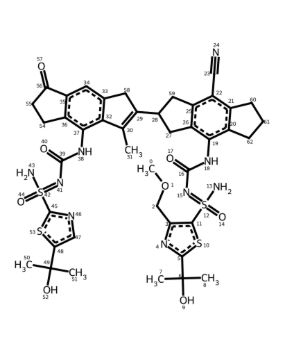 COCc1nc(C(C)(C)O)sc1S(N)(=O)=NC(=O)Nc1c2c(c(C#N)c3c1CC(C1=C(C)c4c(cc5c(c4NC(=O)N=S(N)(=O)c4ncc(C(C)(C)O)s4)CCC5=O)C1)C3)CCC2